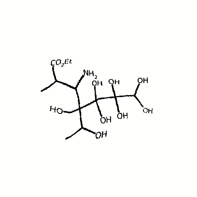 CCOC(=O)C(C)C(N)C(O)(C(C)O)C(O)(O)C(O)(O)C(O)O